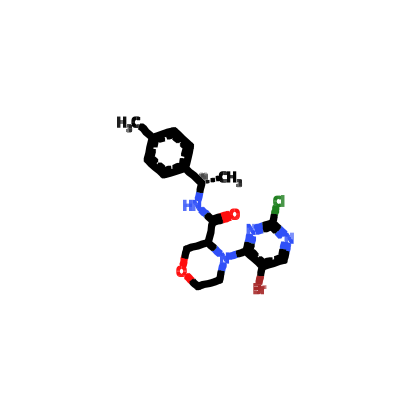 Cc1ccc([C@H](C)NC(=O)C2COCCN2c2nc(Cl)ncc2Br)cc1